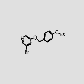 CCOc1ccc(COc2cncc(Br)c2)cc1